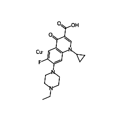 CCN1CCN(c2cc3c(cc2F)c(=O)c(C(=O)O)cn3C2CC2)CC1.[Cu]